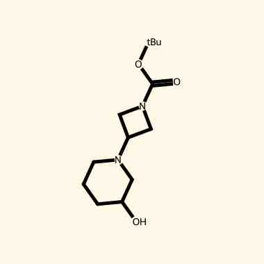 CC(C)(C)OC(=O)N1CC(N2CCCC(O)C2)C1